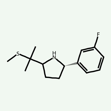 CSC(C)(C)C1CC[C@@H](c2cccc(F)c2)N1